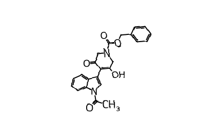 CC(=O)n1cc(C2=C(O)CN(C(=O)OCc3ccccc3)CC2=O)c2ccccc21